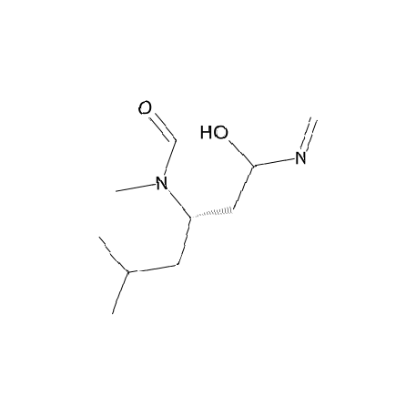 C=NC(O)C[C@H](CC(C)C)N(C)C=O